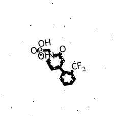 O=c1cc(-c2ccccc2C(F)(F)F)ccn1CP(=O)(O)O